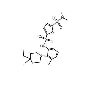 CCC1(C)CCN(c2c(C)cccc2NS(=O)(=O)c2ccc(S(=O)(=O)N(C)C)s2)CC1